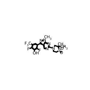 Cn1nc(-c2cc(C(F)(F)F)c(F)c(O)c2F)c2cnc(N3CCS(=O)(=O)C(C)(C)C3)nc21